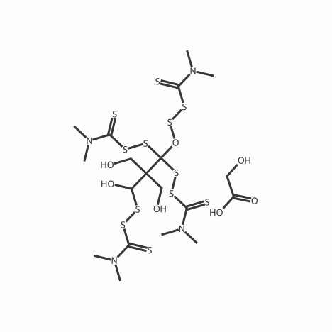 CN(C)C(=S)SSOC(SSC(=S)N(C)C)(SSC(=S)N(C)C)C(CO)(CO)C(O)SSC(=S)N(C)C.O=C(O)CO